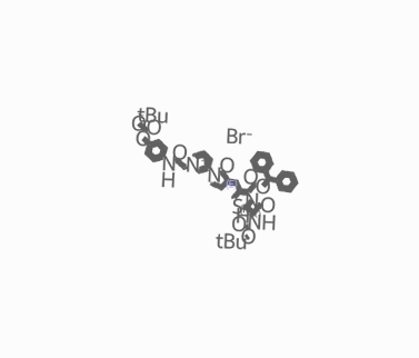 CC(C)(C)OC(=O)N[C@@H]1C(=O)N2C(C(=O)OC(c3ccccc3)c3ccccc3)=C(/C=C3\CCN(c4ccc[n+](CC(=O)Nc5ccc(OC(=O)OC(C)(C)C)cc5)c4)C3=O)CS[C@H]12.[Br-]